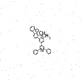 CC1(C)c2ccc(-c3cc(-c4ccccc4)nc(-c4ccccc4)c3)cc2-c2ccc3c(oc4ccccc43)c21